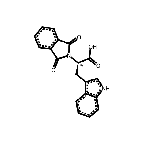 O=C(O)[C@@H](Cc1c[nH]c2ccccc12)N1C(=O)c2ccccc2C1=O